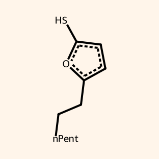 CCCCCCCc1ccc(S)o1